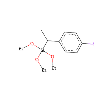 CCO[Si](OCC)(OCC)C(C)c1ccc(I)cc1